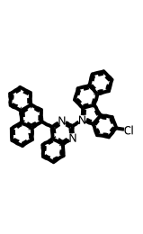 Clc1ccc2c(c1)c1c3ccccc3ccc1n2-c1nc(-c2cc3ccccc3c3ccccc23)c2ccccc2n1